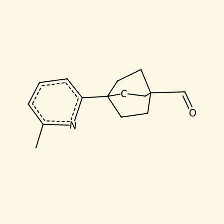 Cc1cccc(C23CCC(C=O)(CC2)CC3)n1